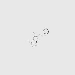 Nc1cc2c(N)ncnc2cc1CCc1ccccc1